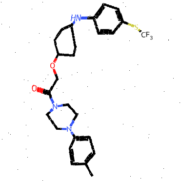 Cc1ccc(N2CCN(C(=O)COC3CCC(Nc4ccc(SC(F)(F)F)cc4)CC3)CC2)cc1